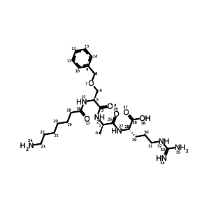 C[C@@H](NC(=O)[C@H](COCc1ccccc1)NC(=O)CCCCCCN)C(=O)N[C@@H](CCCNC(=N)N)C(=O)O